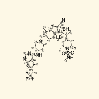 BC(B)(C(C)N1C[C@@H](C)N(S(=O)(=O)NC)[C@H](C)C1)n1c(C#N)cc2c(C)c(CN3CCC(Nc4ncnc5sc(CC(F)(F)F)cc45)CC3)ccc21